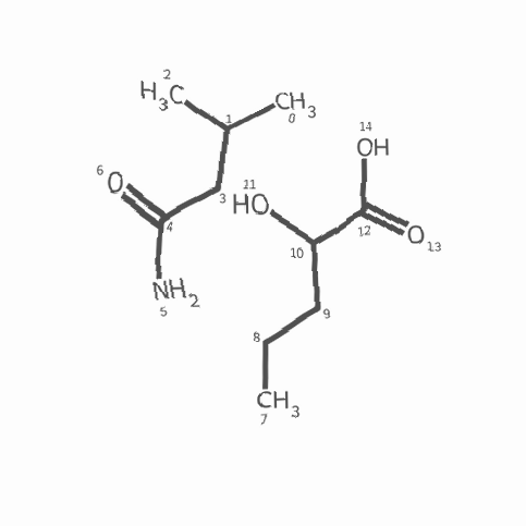 CC(C)CC(N)=O.CCCC(O)C(=O)O